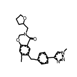 Cc1cc2c(cc1Cc1ccc(-c3cn(C)nn3)cc1)C(=O)N(CC1CCCO1)CO2